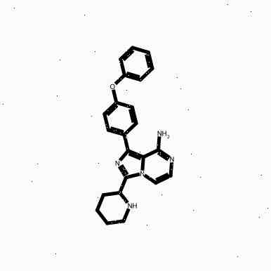 Nc1nccn2c(C3CCCCN3)nc(-c3ccc(Oc4ccccc4)cc3)c12